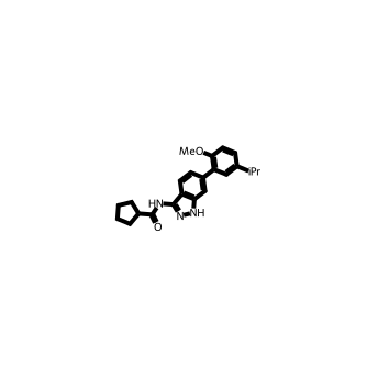 COc1ccc(C(C)C)cc1-c1ccc2c(NC(=O)C3CCCC3)n[nH]c2c1